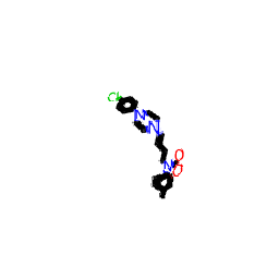 Cc1ccc2c(c1)oc(=O)n2CCCCN1CCN(c2ccc(Cl)cc2)CC1